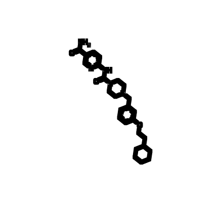 NC(=O)c1ccc(NC(=O)N2CCN(Cc3cccc(OCCC4CCCCC4)c3)CC2)nc1